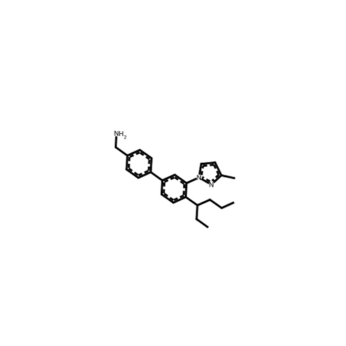 CCCC(CC)c1ccc(-c2ccc(CN)cc2)cc1-n1ccc(C)n1